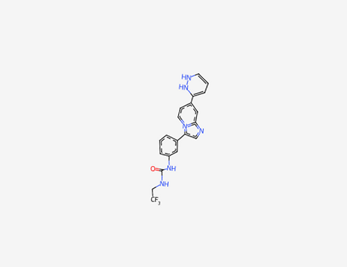 O=C(NCC(F)(F)F)Nc1cccc(-c2cnc3cc(C4=CC=CNN4)ccn23)c1